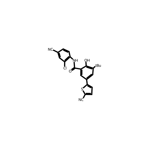 CC(C)(C)c1cc(-c2ccc(C#N)s2)cc(C(=O)Nc2ccc(C#N)cc2Cl)c1O